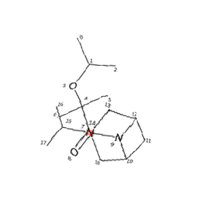 CC(C)OC(C)(C)C(=O)N1C2CC1CN(C(C)C)C2